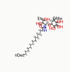 CCCCCCCCCCCCCCCCCCCCCCCCCC(=O)NC(COC1CC(OC)C(O)C(O)C1O)C(O)C(O)CC